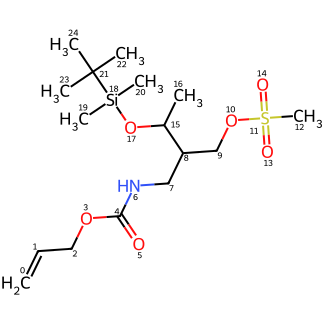 C=CCOC(=O)NCC(COS(C)(=O)=O)C(C)O[Si](C)(C)C(C)(C)C